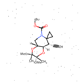 C#C[C@@H]1[C@H]2O[C@](C)(OC)[C@@](C)(OC)O[C@@H]2CN(C(=O)OC(C)(C)C)C12CC2